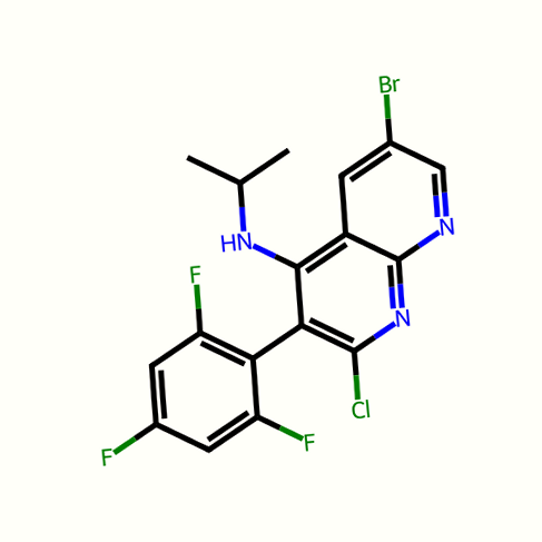 CC(C)Nc1c(-c2c(F)cc(F)cc2F)c(Cl)nc2ncc(Br)cc12